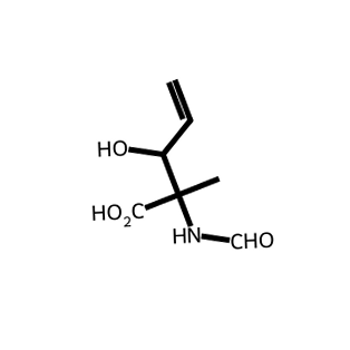 C=CC(O)C(C)(NC=O)C(=O)O